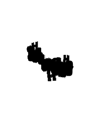 COC(=O)C(NS(=O)(=O)c1ccc(-c2ccc(NC(=O)c3oc4cccc(NS(C)(=O)=O)c4c3C)cc2)cc1)C(C)OC(C)(C)C